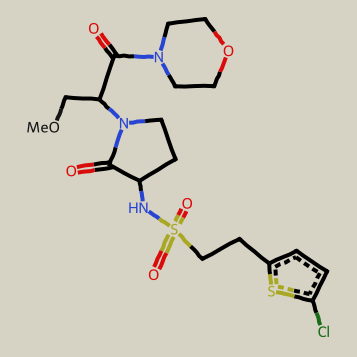 COCC(C(=O)N1CCOCC1)N1CCC(NS(=O)(=O)CCc2ccc(Cl)s2)C1=O